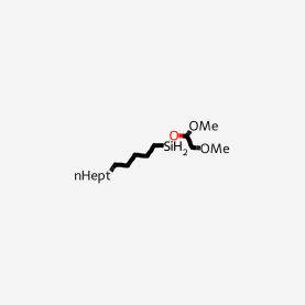 CCCCCCCCCCCC[SiH2]OC(COC)OC